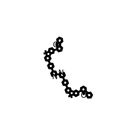 CC1(C)c2ccc(-c3ccc(-c4ccnc(-c5cc(-c6ccc(-c7ccc8c(c7)-c7cc(-c9cccc%10c9oc9ccccc9%10)ccc7C8(C)C)cc6)ccn5)c4)cc3)cc2-c2cc(-c3cccc4c3oc3ccccc34)ccc21